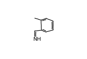 Cc1ccccc1C=N